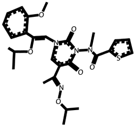 COc1ccccc1/C(=C/n1cc(/C(C)=N/OC(C)C)c(=O)n(N(C)C(=O)c2cccs2)c1=O)OC(C)C